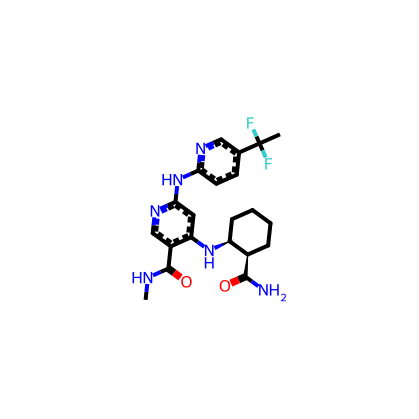 CNC(=O)c1cnc(Nc2ccc(C(C)(F)F)cn2)cc1N[C@H]1CCCC[C@H]1C(N)=O